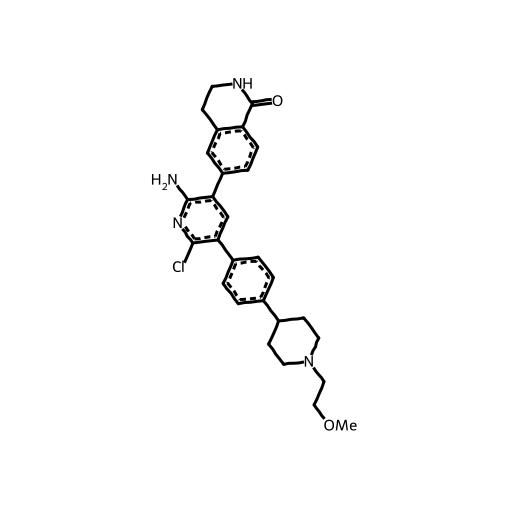 COCCN1CCC(c2ccc(-c3cc(-c4ccc5c(c4)CCNC5=O)c(N)nc3Cl)cc2)CC1